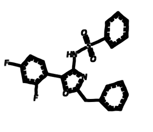 O=S(=O)(Nc1nc(Cc2ccccc2)oc1-c1ccc(F)cc1F)c1ccccc1